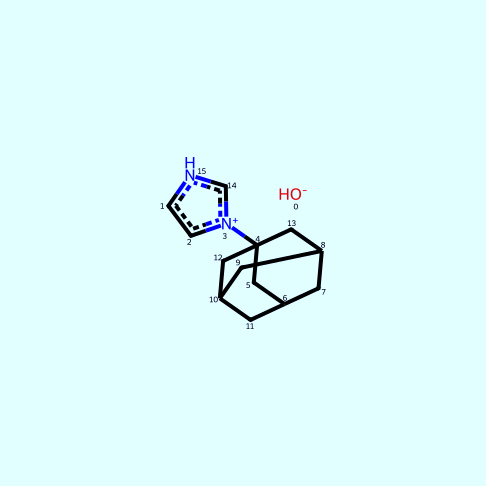 [OH-].c1c[n+](C23CC4CC(CC(C4)C2)C3)c[nH]1